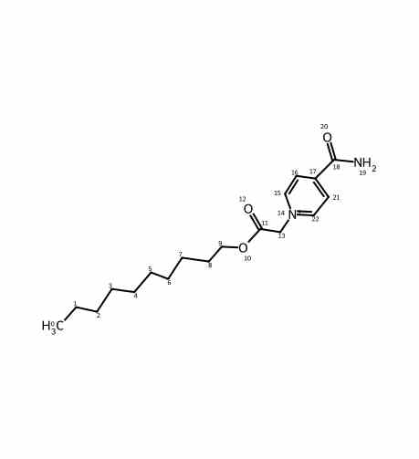 CCCCCCCCCCOC(=O)C[n+]1ccc(C(N)=O)cc1